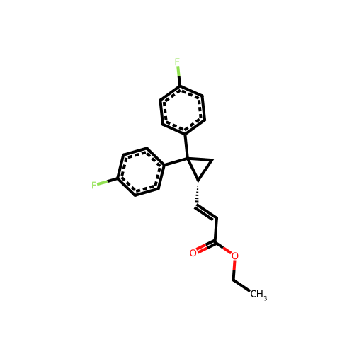 CCOC(=O)/C=C/[C@H]1CC1(c1ccc(F)cc1)c1ccc(F)cc1